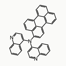 c1ccc2c(N(c3ccnc4ccccc34)c3ccc4c5cccc6cccc(c7cccc3c74)c65)ccnc2c1